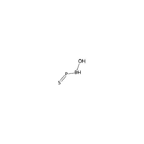 OBP=S